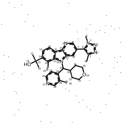 Cc1nnn(C)c1-c1cnc2c3ccc(C(C)(C)O)c(F)c3n(C(c3ccncc3F)C3CCOCC3)c2c1